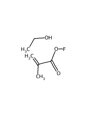 C=C(C)C(=O)OF.CCO